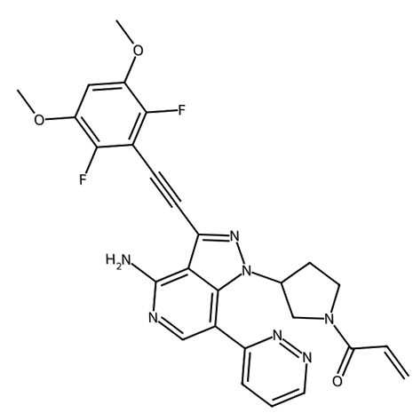 C=CC(=O)N1CCC(n2nc(C#Cc3c(F)c(OC)cc(OC)c3F)c3c(N)ncc(-c4cccnn4)c32)C1